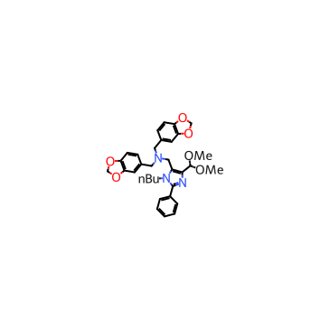 CCCCn1c(-c2ccccc2)nc(C(OC)OC)c1CN(Cc1ccc2c(c1)OCO2)Cc1ccc2c(c1)OCO2